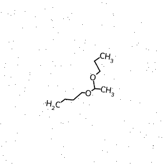 [CH2]CCCOC(C)OCCC